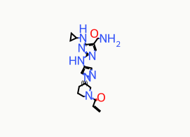 C=CC(=O)N1CCC[C@@H](n2cc(Nc3ncc(C(N)=O)c(NC4CC4)n3)cn2)C1